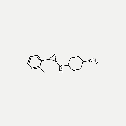 Cc1ccccc1C1CC1NC1CCC(N)CC1